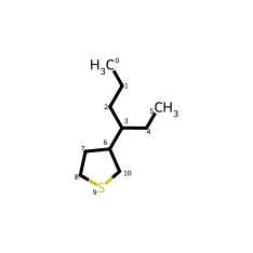 CCCC(CC)C1CCSC1